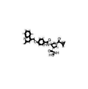 Cc1cc(COc2ccc(C(=O)N[C@@H]3CN(C(=O)C4CC4)C[C@@H]3C(=O)NO)cc2)c2ccccc2n1